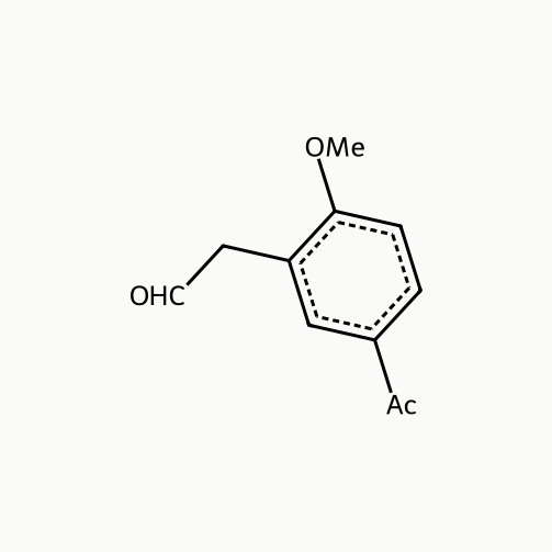 COc1ccc(C(C)=O)cc1CC=O